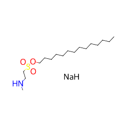 CCCCCCCCCCCCCCOS(=O)(=O)CCNC.[NaH]